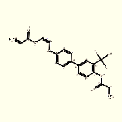 C=CC(=O)O/C=C\Oc1ccc(-c2ccc(OC(=O)C=C)c(C(F)(F)F)c2)cc1